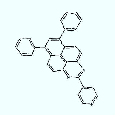 c1ccc(-c2cc(-c3ccccc3)c3ccc4nc(-c5ccncc5)nc5ccc2c3c54)cc1